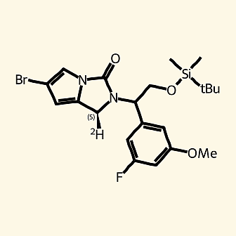 [2H][C@H]1c2cc(Br)cn2C(=O)N1C(CO[Si](C)(C)C(C)(C)C)c1cc(F)cc(OC)c1